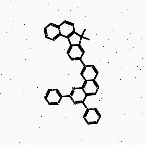 CC1(C)c2cc(-c3ccc4ccc5c(-c6ccccc6)nc(-c6ccccc6)nc5c4c3)ccc2-c2c1ccc1ccccc21